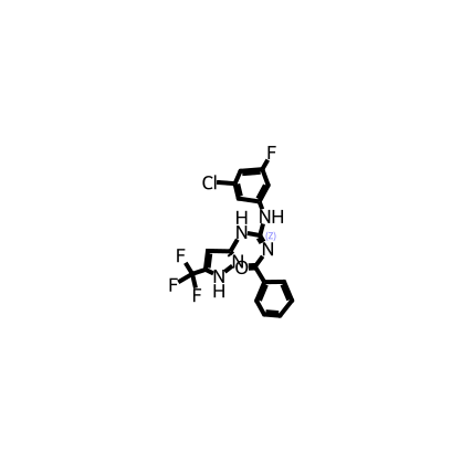 O=C(/N=C(/Nc1cc(F)cc(Cl)c1)Nc1cc(C(F)(F)F)[nH]n1)c1ccccc1